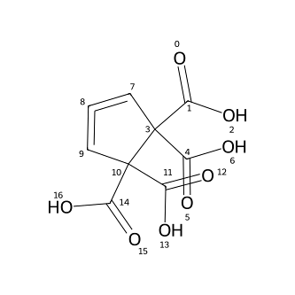 O=C(O)C1(C(=O)O)C=C=CC1(C(=O)O)C(=O)O